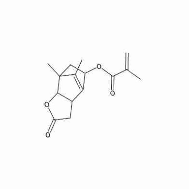 C=C(C)C(=O)OC1CC2(C)C(C)=C1C1CC(=O)OC12